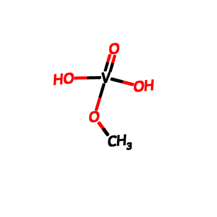 C[O][V](=[O])([OH])[OH]